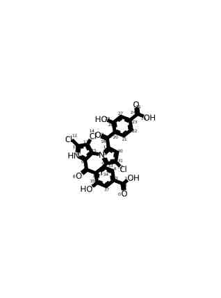 O=C(O)c1ccc(C(=O)c2[nH]c(Cl)c(Cl)c2-n2c(C(=O)c3ccc(C(=O)O)cc3O)cc(Cl)c2Cl)c(O)c1